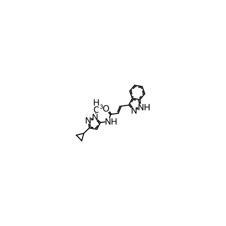 Cn1nc(C2CC2)cc1NC(=O)/C=C/c1n[nH]c2ccccc12